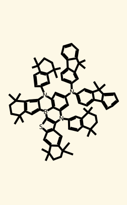 CC1(C)CCC(C)(C)c2cc(N3c4cc5c(cc4B4c6sc7cc8c(cc7c6N(c6ccc7c(c6)C(C)(C)CCC7(C)C)c6cc(N(c7ccc9c(c7)C(C)(C)c7ccccc7-9)c7ccc9c(c7)C(C)(C)c7ccccc7-9)cc3c64)C(C)(C)CCC8(C)C)C(C)(C)CCC5(C)C)ccc21